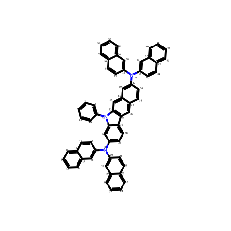 c1ccc(-n2c3cc(N(c4ccc5ccccc5c4)c4ccc5ccccc5c4)ccc3c3cc4ccc(N(c5ccc6ccccc6c5)c5ccc6ccccc6c5)cc4cc32)cc1